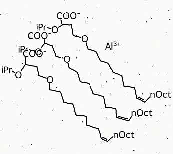 CCCCCCCC/C=C\CCCCCCCCOCCC(OC(C)C)C(=O)[O-].CCCCCCCC/C=C\CCCCCCCCOCCC(OC(C)C)C(=O)[O-].CCCCCCCC/C=C\CCCCCCCCOCCC(OC(C)C)C(=O)[O-].[Al+3]